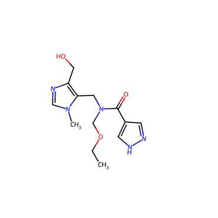 CCOCN(Cc1c(CO)ncn1C)C(=O)c1cn[nH]c1